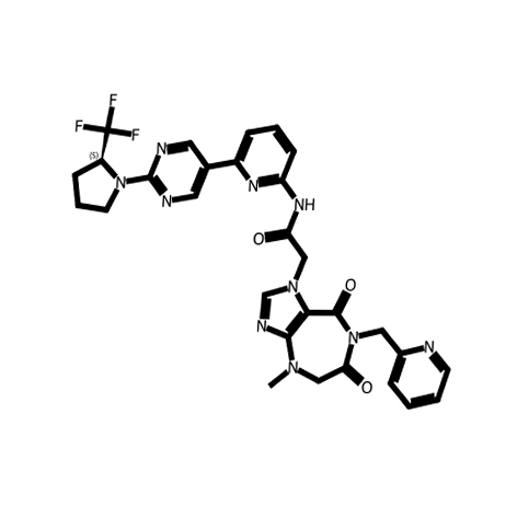 CN1CC(=O)N(Cc2ccccn2)C(=O)c2c1ncn2CC(=O)Nc1cccc(-c2cnc(N3CCC[C@H]3C(F)(F)F)nc2)n1